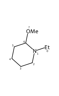 CCN1CCCCC1OC